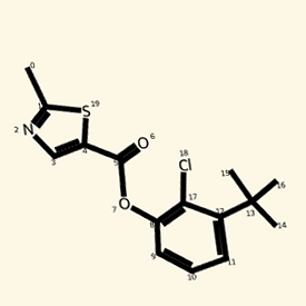 Cc1ncc(C(=O)Oc2cccc(C(C)(C)C)c2Cl)s1